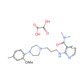 COc1cc(C)ccc1N1CCN(CCCNc2ncccc2C(=O)N(C)C)CC1.O=C(O)C(=O)O